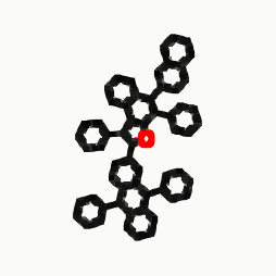 c1ccc(-c2c3ccccc3c(-c3ccccc3)c3cc(-c4oc5c(-c6ccccc6)c(-c6ccc7ccccc7c6)c6ccccc6c5c4-c4ccccc4)ccc23)cc1